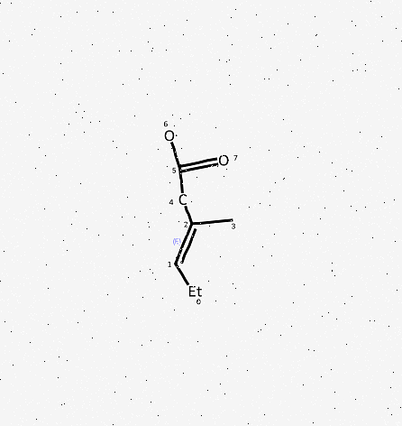 CC/C=C(\C)CC([O])=O